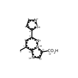 Cc1cc(-c2ccns2)nn2c(C(=O)O)cnc12